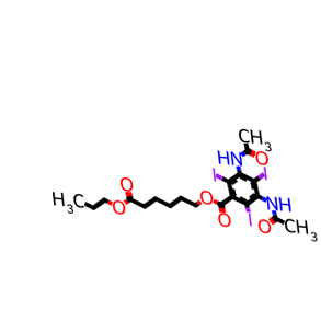 CCCOC(=O)CCCCCOC(=O)c1c(I)c(NC(C)=O)c(I)c(NC(C)=O)c1I